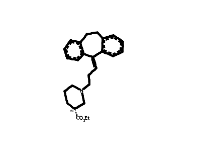 CCOC(=O)[C@@H]1CCCN(CCC=C2c3ccccc3CCc3ccccc32)C1